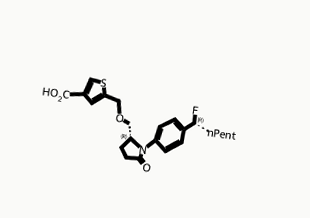 CCCCC[C@@H](F)c1ccc(N2C(=O)CC[C@@H]2COCc2cc(C(=O)O)cs2)cc1